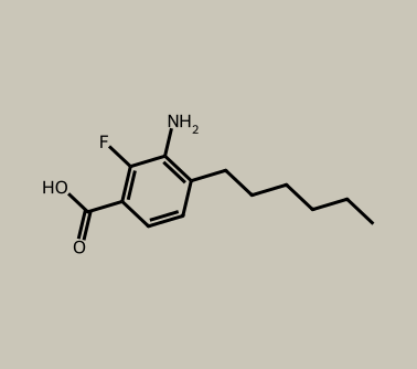 CCCCCCc1ccc(C(=O)O)c(F)c1N